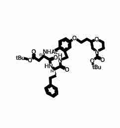 CC(=O)N[C@@H](CC(=O)OC(C)(C)C)C(=O)N[C@@H](CCc1ccccc1)C(=O)NCc1cc(OCCC2CN(C(=O)OC(C)(C)C)CCO2)ccc1C